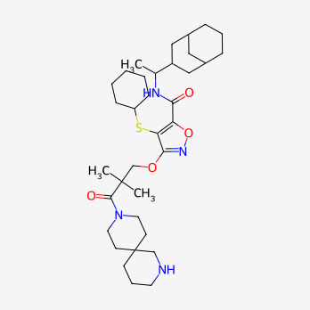 CC(NC(=O)c1onc(OCC(C)(C)C(=O)N2CCC3(CCCNC3)CC2)c1SC1CCCCC1)C1CC2CCCC(C2)C1